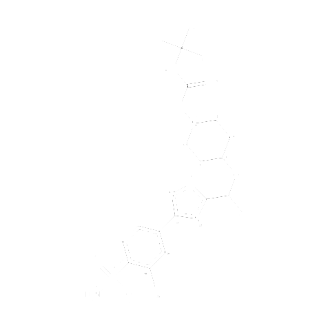 CC(OC1CCN(OC(=O)OC(C)(C)C)CC1)c1nc(-c2ccc(S(N)(=O)=O)c(F)c2)no1